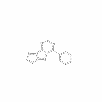 c1ccc(-c2ncnc3c2sc2ccsc23)cc1